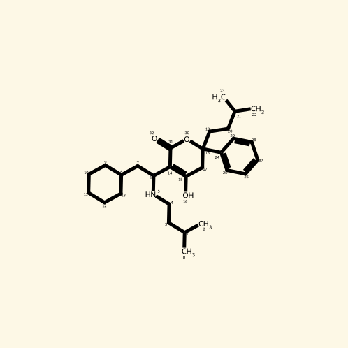 CC(C)CCNC(CC1CCCCC1)C1=C(O)CC(CCC(C)C)(c2ccccc2)OC1=O